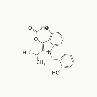 CC(=O)Oc1c(C(C)C)n(Cc2ccccc2O)c2cccc(O)c12